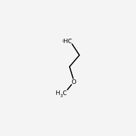 [CH]CCOC